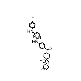 O=C(c1ccc(Nc2nccc(Nc3ccc(F)cc3)n2)cc1)N1CCC(O)(CN2CC[C@H](F)C2)CC1